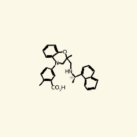 Cc1ccc(N2CC(C)(CN[C@H](C)c3cccc4ccccc34)Oc3ccccc32)cc1C(=O)O